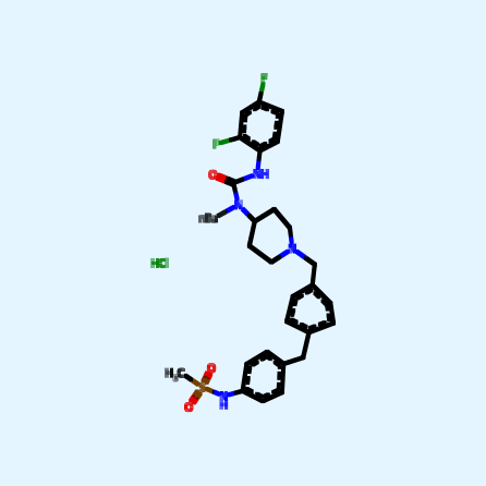 CCCCN(C(=O)Nc1ccc(F)cc1F)C1CCN(Cc2ccc(Cc3ccc(NS(C)(=O)=O)cc3)cc2)CC1.Cl